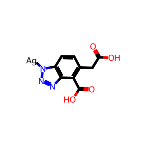 O=C(O)Cc1ccc2c(nn[n]2[Ag])c1C(=O)O